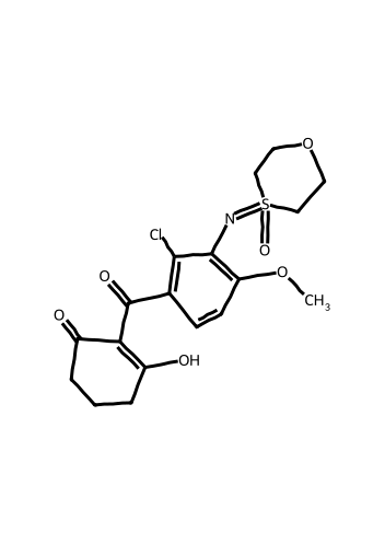 COc1ccc(C(=O)C2=C(O)CCCC2=O)c(Cl)c1N=S1(=O)CCOCC1